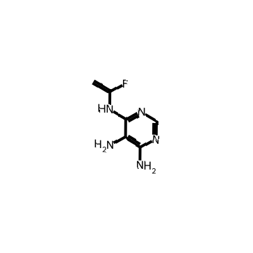 C=C(F)Nc1ncnc(N)c1N